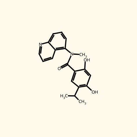 CC(C)c1cc(C(=O)N(C)c2cccc3ncccc23)c(O)cc1O